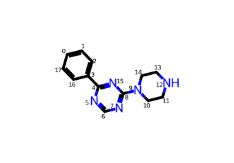 c1ccc(-c2ncnc(N3CCNCC3)n2)cc1